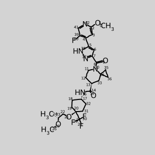 COc1cc(-c2cc(C(=O)N3CC[C@H](C(=O)N[C@H]4CC[C@@](OC[C@@H](C)OC)(C(F)(F)F)CC4)CC34CC4)n[nH]2)c(F)cn1